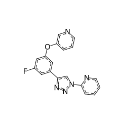 Fc1cc(Oc2cccnc2)cc(-c2cn(-c3ccccn3)nn2)c1